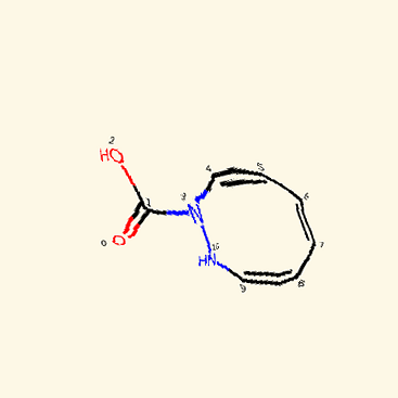 O=C(O)n1cccccc[nH]1